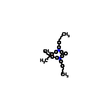 CCCCCCc1ccc(-c2ccc(N(c3ccc(-c4ccc(CCCCC)cc4)cc3)c3ccc(C4(c5ccc(N(c6ccc(-c7ccc(CCCCC)cc7)cc6)c6ccc(-c7ccc(CCCCCC)cc7)cc6)cc5)CCCCC4)cc3)cc2)cc1